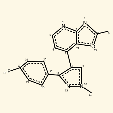 Cc1nc2nccc(-c3cn(C)nc3-c3ccc(F)cc3)c2o1